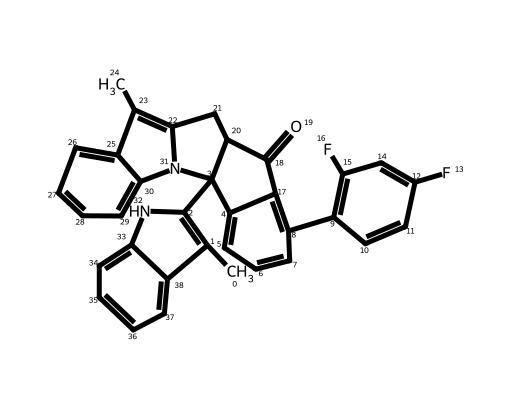 Cc1c(C23c4cccc(-c5ccc(F)cc5F)c4C(=O)C2Cc2c(C)c4ccccc4n23)[nH]c2ccccc12